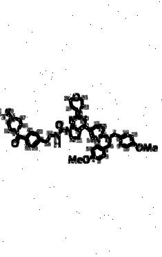 COc1ccc(CN(Cc2ccc(OC)cc2)c2ncc(-c3nc(N4CCOCC4)nc4c3CCN4C(=O)NCCc3ccc(C(=O)N4CCN(C)CC4)cc3)cn2)cc1